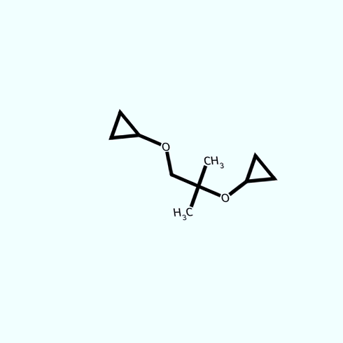 CC(C)(COC1CC1)OC1CC1